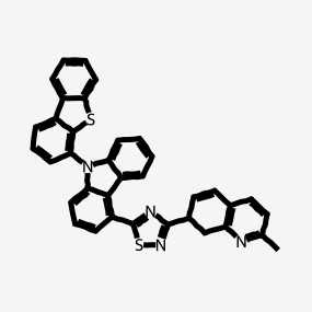 Cc1ccc2c(n1)CC(c1nsc(-c3cccc4c3c3ccccc3n4-c3cccc4c3sc3ccccc34)n1)C=C2